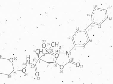 C[C@@](C[C@H]1CN(c2ccc(-c3ccccc3)cc2)C(=O)O1)(C(=O)NOC1CCCCO1)S(C)(=O)=O